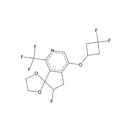 FC1Cc2c(OC3CC(F)(F)C3)cnc(C(F)(F)F)c2C12OCCO2